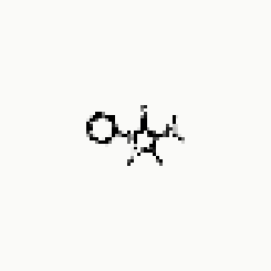 Cc1c(N(C)C)c(=S)n(-c2ccccc2)n1C